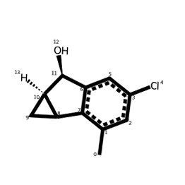 Cc1cc(Cl)cc2c1C1C[C@H]1[C@H]2O